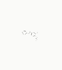 CCOC(=O)c1c(-c2ccc(F)cc2)oc2cc(NS(C)(=O)=O)c(C(C)O)cc12